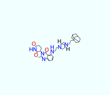 Cc1nc2cccc(NCCN3C[C@H]4C[C@@H]3CN4CCC34CC5CC(CC(C5)C3)C4)c2c(=O)n1C1CCC(=O)NC1=O